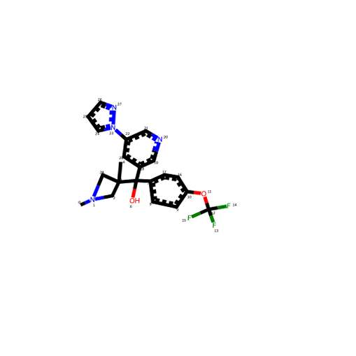 CN1CC(C)(C(O)(c2ccc(OC(F)(F)F)cc2)c2cncc(-n3cccn3)c2)C1